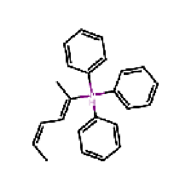 C/C=C\C=C(/C)[PH](c1ccccc1)(c1ccccc1)c1ccccc1